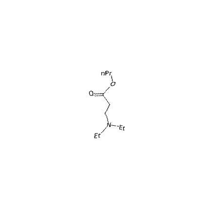 CCCOC(=O)CCN(CC)CC